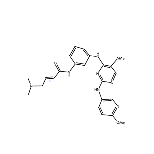 COc1ccc(Nc2ncc(SC)c(Nc3cccc(NC(=O)/C=C/CN(C)C)c3)n2)cn1